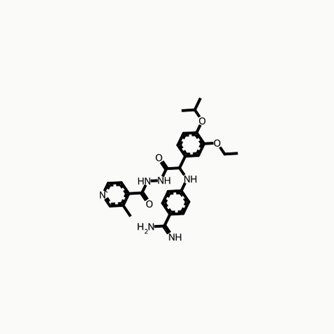 CCOc1cc(C(Nc2ccc(C(=N)N)cc2)C(=O)NNC(=O)c2ccncc2C)ccc1OC(C)C